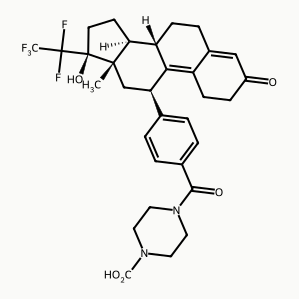 C[C@]12C[C@H](c3ccc(C(=O)N4CCN(C(=O)O)CC4)cc3)C3=C4CCC(=O)C=C4CC[C@H]3[C@@H]1CC[C@@]2(O)C(F)(F)C(F)(F)F